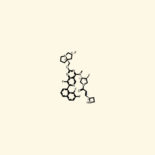 CN(c1nc(OC[C@@]23CCCN2C[C@H](F)C3)nc2c(F)c(-c3cccc4ccc(F)c(F)c34)ncc12)[C@H]1CN(C(=O)/C=C/[C@H]2CCN2)C[C@@H]1F